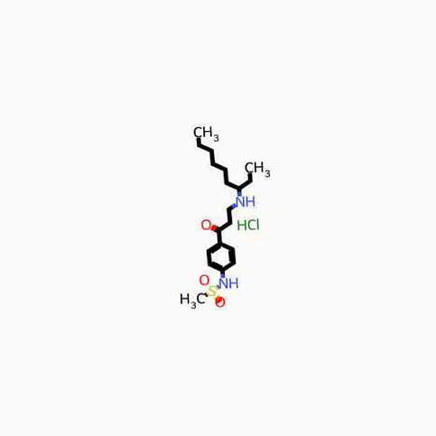 CCCCCCC(CC)NCCC(=O)c1ccc(NS(C)(=O)=O)cc1.Cl